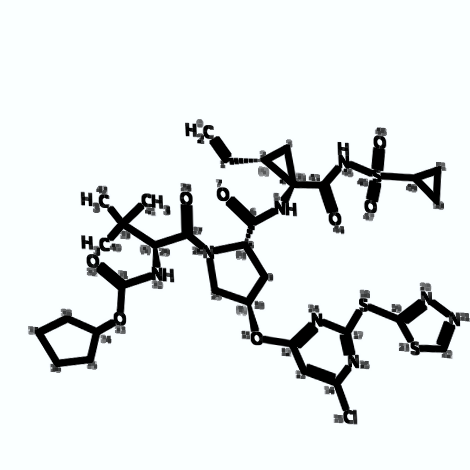 C=C[C@@H]1C[C@]1(NC(=O)[C@@H]1C[C@@H](Oc2cc(Cl)nc(Sc3nncs3)n2)CN1C(=O)[C@@H](NC(=O)OC1CCCC1)C(C)(C)C)C(=O)NS(=O)(=O)C1CC1